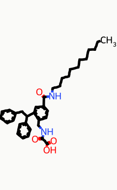 CCCCCCCCCCCCNC(=O)c1ccc(CNC(=O)C(=O)O)c(C(Cc2ccccc2)c2ccccc2)c1